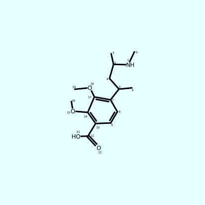 CNC(C)CC(C)c1ccc(C(=O)O)c(OC)c1OC